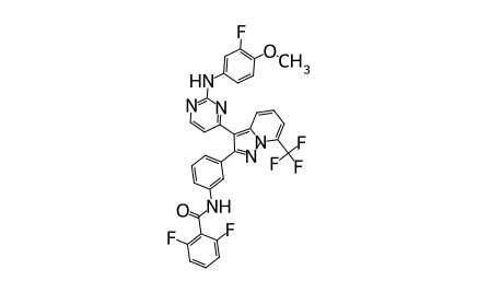 COc1ccc(Nc2nccc(-c3c(-c4cccc(NC(=O)c5c(F)cccc5F)c4)nn4c(C(F)(F)F)cccc34)n2)cc1F